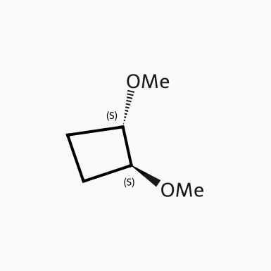 CO[C@H]1CC[C@@H]1OC